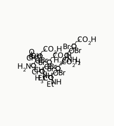 CCC(=O)O.CCNc1cc(C)cc(COc2c(Br)cc(CCC(=O)O)cc2Br)c1.CCNc1cc(Cl)cc(COc2c(Br)cc(CCC(=O)O)cc2Br)c1.Cc1cc(N)cc(COc2c(Br)cc(CCC(=O)O)cc2Br)c1.Cc1ccc(COc2c(Br)cc(CCC(=O)O)cc2Br)cc1N